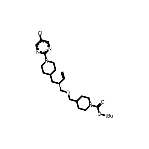 C=C[C@@H](COCC1CCN(C(=O)OC(C)(C)C)CC1)CC1CCN(c2ncc(Cl)cn2)CC1